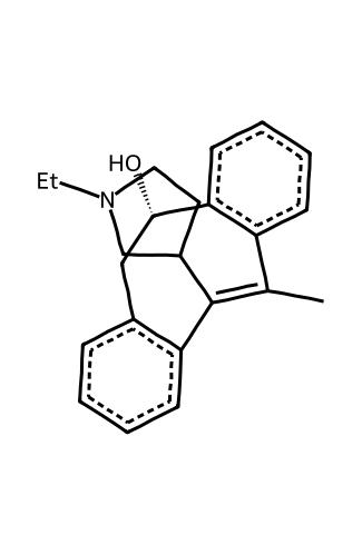 CCN1CCC(/C2=C(/C)c3ccccc3[C@@H](O)Cc3ccccc32)C1